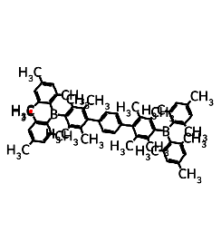 Cc1cc(C)c(B(c2c(C)cc(C)cc2C)c2c(C)c(C)c(-c3ccc(-c4c(C)c(C)c(B(c5c(C)cc(C)cc5C)c5c(C)cc(C)cc5C)c(C)c4C)cc3)c(C)c2C)c(C)c1